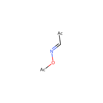 CC(=O)C=NOC(C)=O